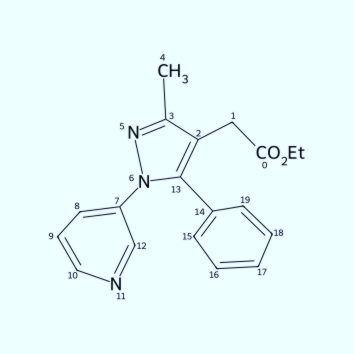 CCOC(=O)Cc1c(C)nn(-c2cccnc2)c1-c1ccccc1